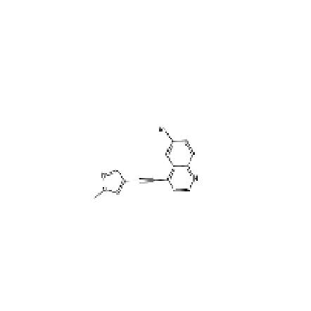 Cn1cc(C#Cc2ccnc3ccc(Br)cc23)cn1